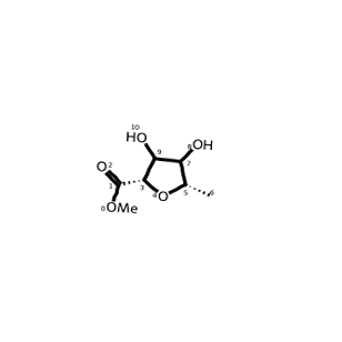 COC(=O)[C@H]1O[C@@H](C)C(O)C1O